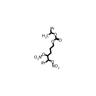 CC(C)C(C)OC(=O)OCCCC(O[N+](=O)[O-])C(O[N+](=O)[O-])C(C)C